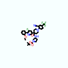 CCOc1ccccc1-c1ncc(C2(C(=O)N[C@@H]3CCN(C(=O)OC(C)(C)C)C3)CCN(c3ccc(C(F)(F)F)cc3C#N)CC2)cc1F